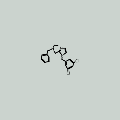 CCN(Cc1ccccc1)Cc1nccn1Cc1cc(Cl)cc(Cl)c1